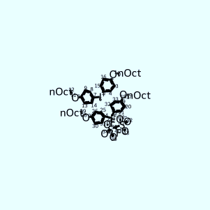 CCCCCCCCOc1ccc([I+]c2ccc(OCCCCCCCC)cc2)cc1.CCCCCCCCOc1ccc([I+]c2ccc(OCCCCCCCC)cc2)cc1.O=S(=O)([O-])C(F)(F)S(=O)(=O)[O-]